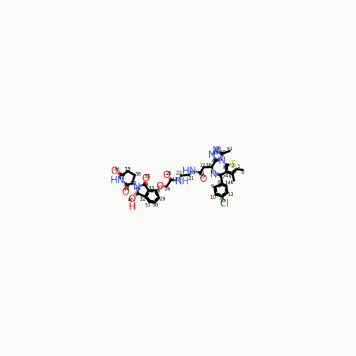 Cc1sc2c(c1C)C(c1ccc(Cl)cc1)=NC(CC(=O)NCCNC(=O)COc1cccc3c1C(=O)N(C1CCC(=O)NC1=O)C3O)c1nnc(C)n1-2